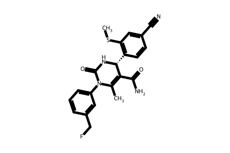 CSc1cc(C#N)ccc1[C@H]1NC(=O)N(c2cccc(CF)c2)C(C)=C1C(N)=O